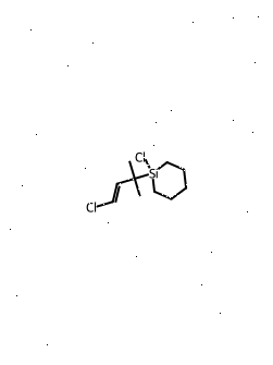 CC(C)(C=CCl)[Si]1(Cl)CCCCC1